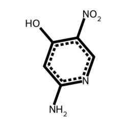 Nc1cc(O)c([N+](=O)[O-])cn1